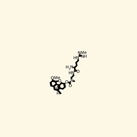 CNC(=N)NCCC[C@H](N)C(=O)NCCN(C)C(=O)OC1=CCC2[C@H]3Cc4ccc(OC)c5c4[C@@]2(CCN3C)C1O5